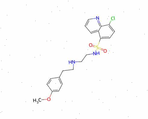 COc1ccc(CCNCCNS(=O)(=O)c2ccc(Cl)c3ncccc23)cc1